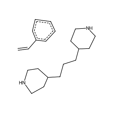 C(CC1CCNCC1)CC1CCNCC1.C=Cc1ccccc1